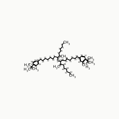 CCCCCCC(C)C(CCCCCCCc1ccc(C(C)(C)C)cc1)SC(CCCCCCCc1ccc(C(C)(C)C)c(Cl)c1)C(C)CCCCCC